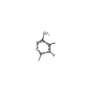 Cc1ncc([N+](=O)[O-])c(C)c1Br